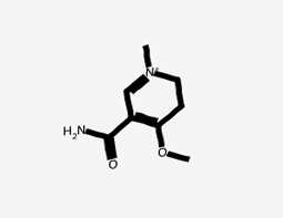 COC1=C(C(N)=O)C=[N+](C)CC1